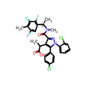 Cc1c(F)cc([C@@H](C)N(C)C(=O)c2nn(-c3ccccc3Cl)c(-c3ccc(Cl)cc3)c2C(C)C(=O)O)c(F)c1F